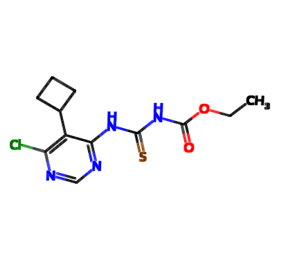 CCOC(=O)NC(=S)Nc1ncnc(Cl)c1C1CCC1